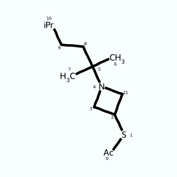 CC(=O)SC1CN(C(C)(C)CCC(C)C)C1